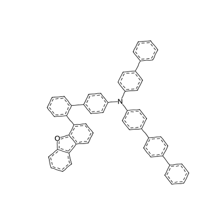 c1ccc(-c2ccc(-c3ccc(N(c4ccc(-c5ccccc5)cc4)c4ccc(-c5ccccc5-c5cccc6c5oc5ccccc56)cc4)cc3)cc2)cc1